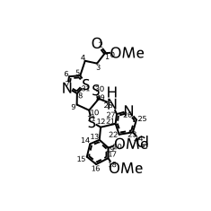 COC(=O)CCc1cnc(CC2SC(c3cccc(OC)c3OC)c3cc(Cl)cnc3NC2=S)s1